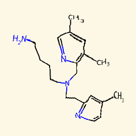 Cc1ccnc(CN(CCCCN)Cc2ncc(C)cc2C)c1